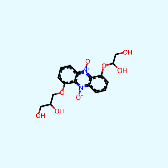 [O-][n+]1c2cccc(OC(O)CO)c2[n+]([O-])c2cccc(OCC(O)CO)c21